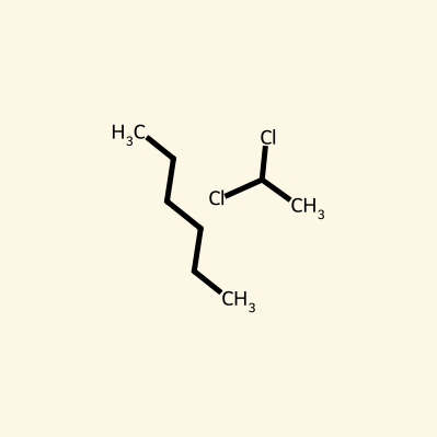 CC(Cl)Cl.CCCCCC